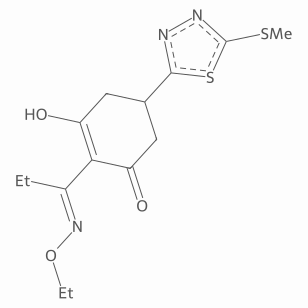 CCON=C(CC)C1=C(O)CC(c2nnc(SC)s2)CC1=O